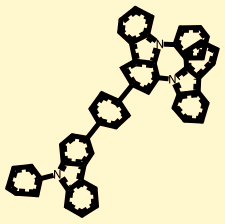 c1ccc(-n2c3ccccc3c3cc(-c4ccc(-c5cc(-n6c7ccccc7c7ccccc76)c6c(c5)c5ccccc5n6-c5ccccc5)cc4)ccc32)cc1